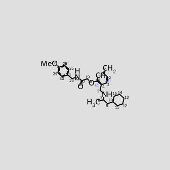 C=C/C=C\C(CNC(C)CC1CCCCC1)=C(/C)OCC(=O)NCc1ccc(OC)cc1